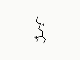 CCBCCC(CC)NC